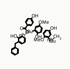 CCCOC(=O)c1ccc(O)cc1.COc1ccc(O)c(C(C)(C)C)c1.COc1ccc(O)cc1C(C)(C)C.Oc1ccccc1Cc1ccccc1.[CH2]CCC